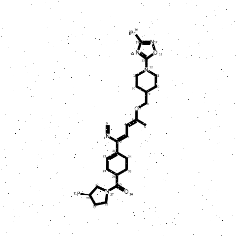 C=N/C(=C\C=C(/C)OCC1CCN(c2nc(C(C)C)no2)CC1)C1=CCC(C(=O)N2CC[C@@H](F)C2)CC1